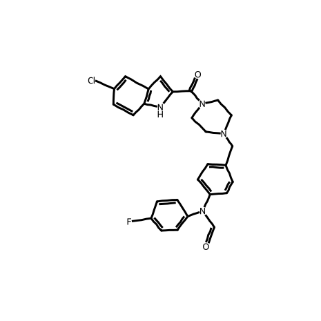 O=CN(c1ccc(F)cc1)c1ccc(CN2CCN(C(=O)c3cc4cc(Cl)ccc4[nH]3)CC2)cc1